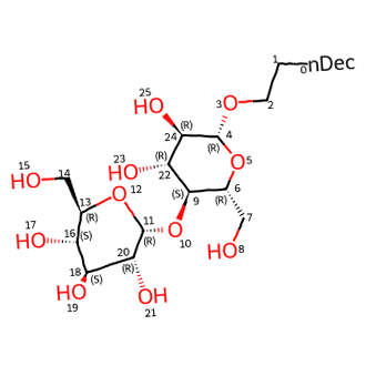 CCCCCCCCCCCCO[C@@H]1O[C@H](CO)[C@@H](O[C@H]2O[C@H](CO)[C@@H](O)[C@H](O)[C@H]2O)[C@H](O)[C@H]1O